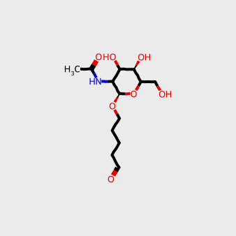 CC(=O)NC1C(O)[C@@H](O)C(CO)O[C@H]1OCCCCC=O